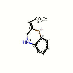 CCOC(=O)C=C1CNc2ccccc2S1